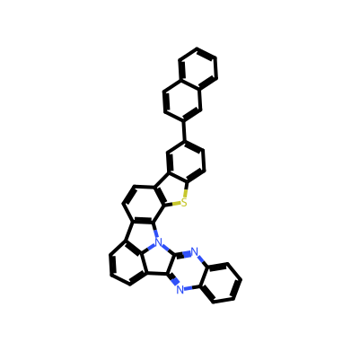 c1ccc2cc(-c3ccc4sc5c(ccc6c7cccc8c9nc%10ccccc%10nc9n(c78)c65)c4c3)ccc2c1